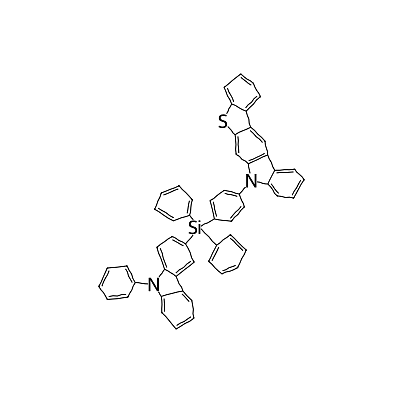 c1ccc(-n2c3ccccc3c3cc([Si](c4ccccc4)(c4ccccc4)c4ccc(-n5c6ccccc6c6cc7c(cc65)sc5ccccc57)cc4)ccc32)cc1